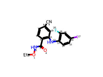 CCONC(=O)c1ccc(C#N)cc1Nc1ccc(I)cc1F